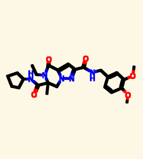 CCN1C(=O)c2cc(C(=O)NCc3ccc(OC)c(OC)c3)nn2CC1(C)C(=O)NC1CCCC1